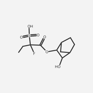 CCC(F)(C(=O)OC1C2CCC(C2)C1O)S(=O)(=O)O